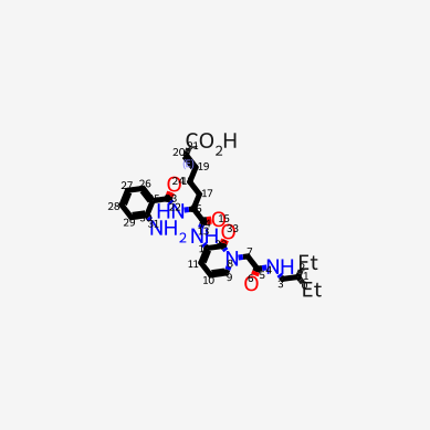 CCC(CC)CNC(=O)Cn1cccc(NC(=O)C(CC/C=C/C(=O)O)NC(=O)c2ccccc2N)c1=O